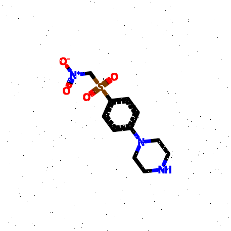 O=[N+]([O-])CS(=O)(=O)c1ccc(N2CCNCC2)cc1